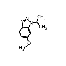 COC1=CCC2N=NN(C(C)C)C2=C1